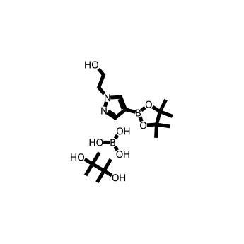 CC(C)(O)C(C)(C)O.CC1(C)OB(c2cnn(CCO)c2)OC1(C)C.OB(O)O